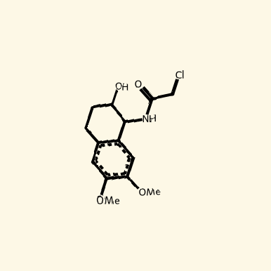 COc1cc2c(cc1OC)C(NC(=O)CCl)C(O)CC2